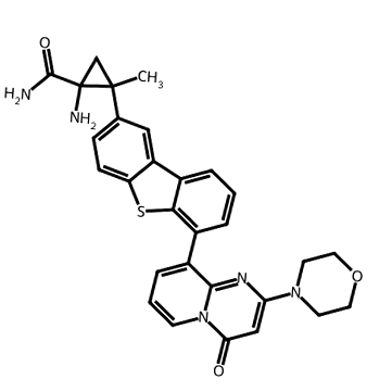 CC1(c2ccc3sc4c(-c5cccn6c(=O)cc(N7CCOCC7)nc56)cccc4c3c2)CC1(N)C(N)=O